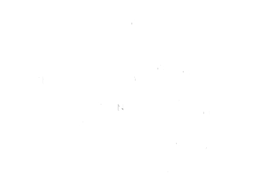 COC(=O)C(CN1C(=O)c2c(Cl)ccc(Cl)c2C1=O)C1(C)OCCO1